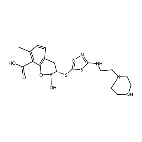 Cc1ccc2c(c1C(=O)O)OB(O)[C@@H](Sc1nnc(NCCN3CCNCC3)s1)C2